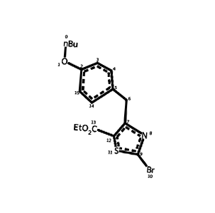 CCCCOc1ccc(Cc2nc(Br)sc2C(=O)OCC)cc1